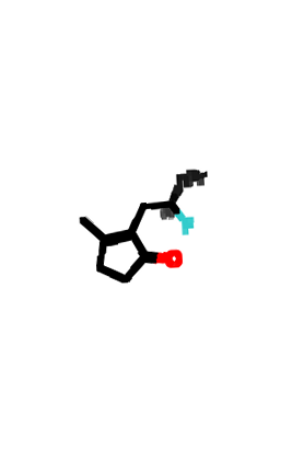 CCC[C@@H](F)CC1=C(C)CCC1=O